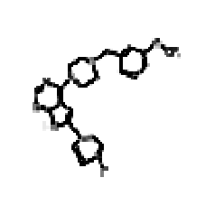 Fc1ccc(-c2cc3c(N4CCN(Cc5cccc(OC(F)(F)F)c5)CC4)ncnc3[nH]2)cc1